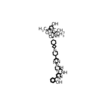 CC(=O)[C@@H]1C[C@@H](O)CN1C(=O)[C@@H](NC(=O)[C@H]1CCC2(CC1)C[C@H](N1CCC(c3cnc(N4CCN5c6cc(-c7ccccc7O)nnc6NC[C@H]5C4)nc3)CC1)C2)C(C)(C)C